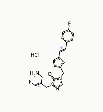 Cl.NC/C(=C\F)Cn1ncn(Cc2ccc(/C=C/c3ccc(F)cc3)s2)c1=O